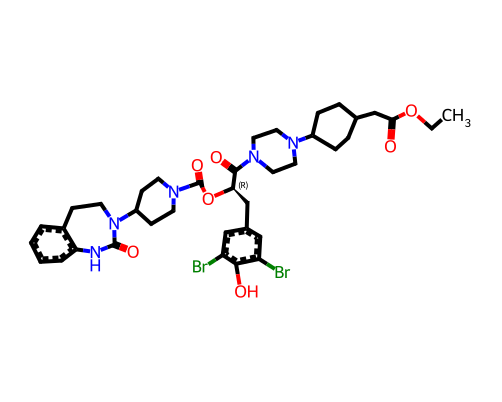 CCOC(=O)CC1CCC(N2CCN(C(=O)[C@@H](Cc3cc(Br)c(O)c(Br)c3)OC(=O)N3CCC(N4CCc5ccccc5NC4=O)CC3)CC2)CC1